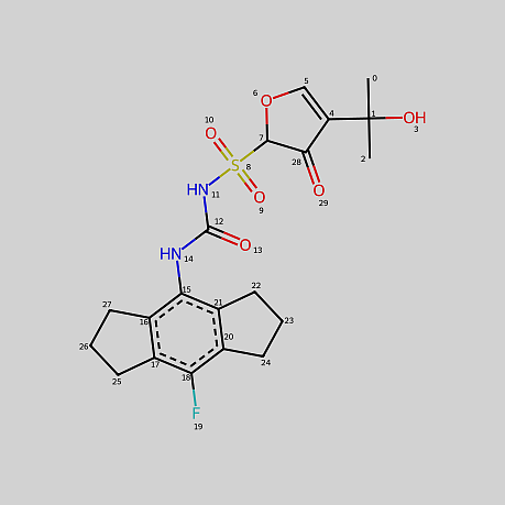 CC(C)(O)C1=COC(S(=O)(=O)NC(=O)Nc2c3c(c(F)c4c2CCC4)CCC3)C1=O